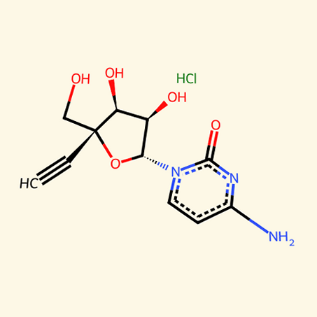 C#C[C@]1(CO)O[C@@H](n2ccc(N)nc2=O)[C@H](O)[C@@H]1O.Cl